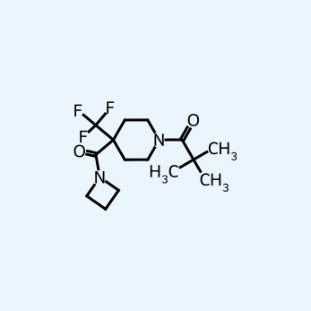 CC(C)(C)C(=O)N1CCC(C(=O)N2CCC2)(C(F)(F)F)CC1